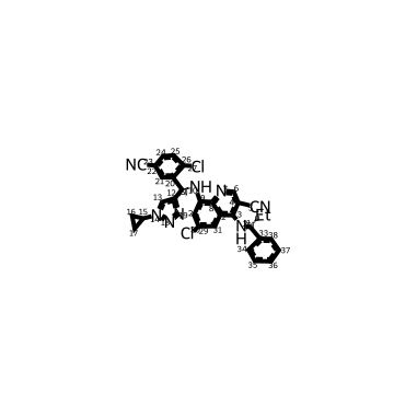 CC[C@@H](Nc1c(C#N)cnc2c(N[C@H](c3cn(C4CC4)nn3)c3cc(C#N)ccc3Cl)cc(Cl)cc12)c1ccccc1